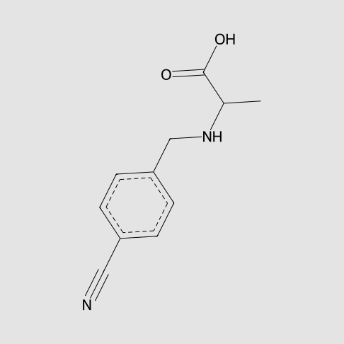 CC(NCc1ccc(C#N)cc1)C(=O)O